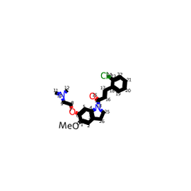 COc1cc2c(cc1OCCN(C)C)N(C(=O)C=Cc1ccccc1Cl)CC2